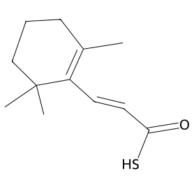 CC1=C(/C=C/C(=O)S)C(C)(C)CCC1